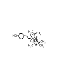 C[Si](C)(C)O[Si](C)(C)O[Si](C)(CCC1CCC(O)CC1)O[Si](C)(C)C